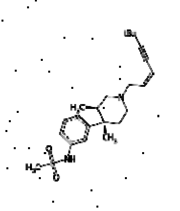 C[C@H]1CN(C/C=C\C#CC(C)(C)C)CC[C@]1(C)c1cccc(NS(C)(=O)=O)c1